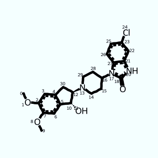 COc1cc2c(cc1OC)[C@@H](O)[C@H](N1CCC(n3c(=O)[nH]c4cc(Cl)ccc43)CC1)C2